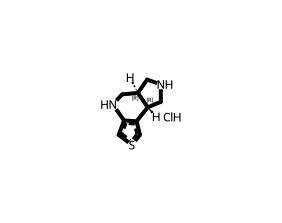 Cl.c1scc2c1NC[C@H]1CNC[C@@H]21